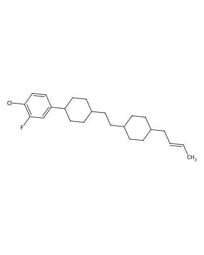 C/C=C/CC1CCC(CCC2CCC(c3ccc(Cl)c(F)c3)CC2)CC1